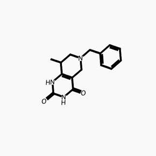 CC1CN(Cc2ccccc2)Cc2c1[nH]c(=O)[nH]c2=O